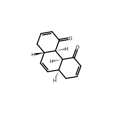 O=C1C=CC[C@H]2C=C[C@@H]3CC=CC(=O)[C@H]3[C@@H]12